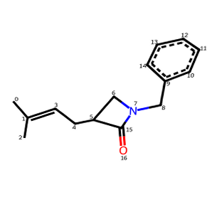 CC(C)=CCC1CN(Cc2ccccc2)C1=O